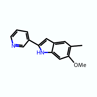 COc1cc2[nH]c(-c3cccnc3)cc2cc1C